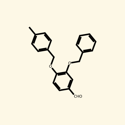 Cc1ccc(COc2ccc(C=O)cc2OCc2ccccc2)cc1